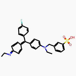 CCN=C1C=CC(=C(c2ccc(F)cc2)c2ccc(N(CC)Cc3cccc(S(=O)(=O)O)c3)cc2)C=C1